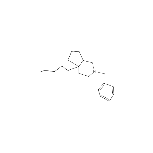 CCCCCC12CCCC1CN(Cc1ccccc1)CC2